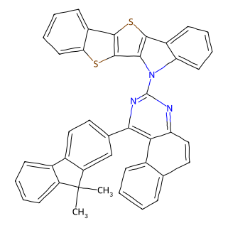 CC1(C)c2ccccc2-c2ccc(-c3nc(-n4c5ccccc5c5sc6c7ccccc7sc6c54)nc4ccc5ccccc5c34)cc21